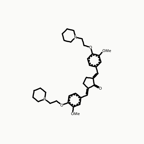 COc1cc(/C=C2\CC/C(=C\c3ccc(OCCN4CCCCC4)c(OC)c3)C2=O)ccc1OCCN1CCCCC1